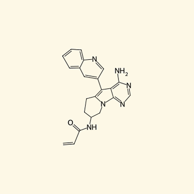 C=CC(=O)NC1CCc2c(-c3cnc4ccccc4c3)c3c(N)ncnc3n2C1